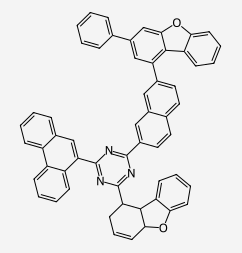 C1=CC2Oc3ccccc3C2C(c2nc(-c3ccc4ccc(-c5cc(-c6ccccc6)cc6oc7ccccc7c56)cc4c3)nc(-c3cc4ccccc4c4ccccc34)n2)C1